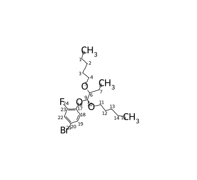 CCCCCOC(CC)[C@@H](OCCCCC)Oc1ccc(Br)cc1F